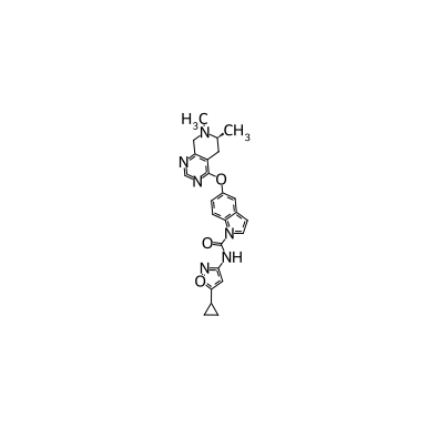 C[C@H]1Cc2c(ncnc2Oc2ccc3c(ccn3C(=O)Nc3cc(C4CC4)on3)c2)CN1C